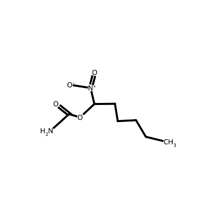 CCCCCC(OC(N)=O)[N+](=O)[O-]